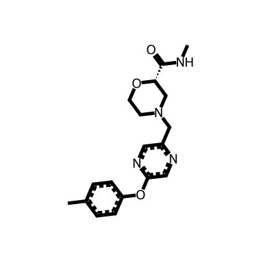 CNC(=O)[C@@H]1CN(Cc2cnc(Oc3ccc(C)cc3)cn2)CCO1